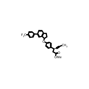 CC#C[C@@H](CC(=O)OC)c1ccc(OC2CCc3ccc(-c4ccc(C(F)(F)F)cc4)cc32)cc1